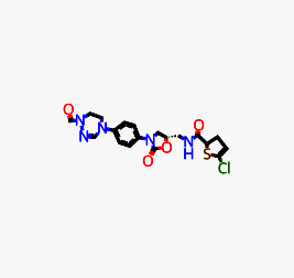 O=CN1CCN(c2ccc(N3C[C@H](CNC(=O)C4CC=C(Cl)S4)OC3=O)cc2)C=N1